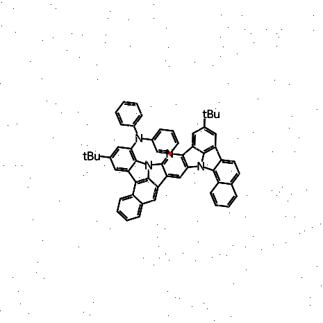 CC(C)(C)c1cc(N(c2ccccc2)c2ccccc2)c2c(c1)c1c3ccccc3cc3c4cc5c(nc4n2c31)c1cc(C(C)(C)C)cc2c3ccc4ccccc4c3n5c21